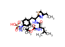 CCc1csc(C(Cc2ccc(NS(=O)(=O)O)cc2)NC(=O)C(CC(C)C)NC(=O)OC(C)(C)C)n1